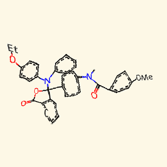 CCOc1ccc(N(c2ccccc2)C2(c3ccc(N(C)C(=O)c4ccc(OC)cc4)cc3)OC(=O)c3ccccc32)cc1